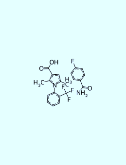 Cc1cc(C(=O)O)c(C)n1-c1ccccc1C(F)(F)F.NC(=O)c1ccc(F)cc1